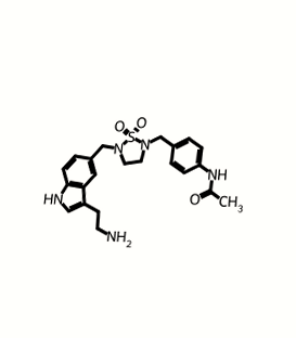 CC(=O)Nc1ccc(CN2CCN(Cc3ccc4[nH]cc(CCN)c4c3)S2(=O)=O)cc1